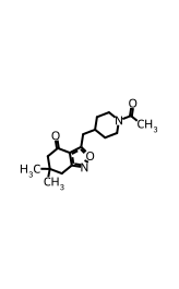 CC(=O)N1CCC(Cc2onc3c2C(=O)CC(C)(C)C3)CC1